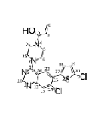 C=CC(O)N1CCN(c2ncnc3cc(Cl)c(-c4ccc(Cl)s4)cc23)CC1